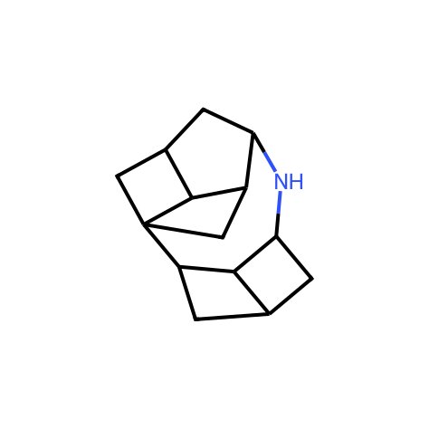 C1C2CC34CC(C1NC1CC5CC3C51)C24